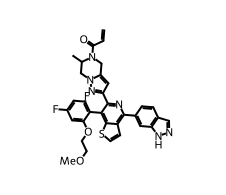 C=CC(=O)N1Cc2cc(-c3nc(-c4ccc5cn[nH]c5c4)c4ccsc4c3-c3c(F)cc(F)cc3OCCOC)nn2CC1C